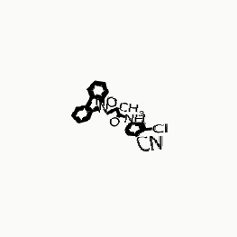 C[C@](O)(Cn1c2ccccc2c2ccccc21)C(=O)Nc1ccc(C#N)c(Cl)c1